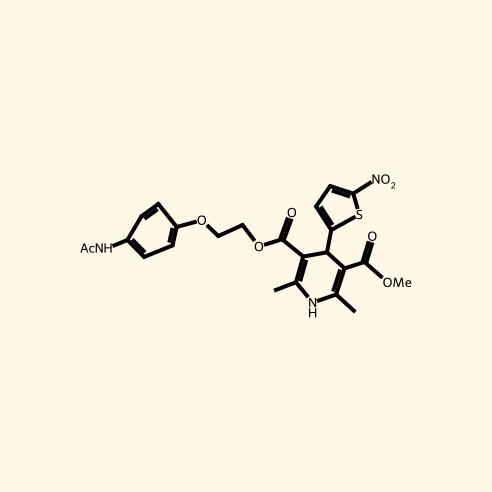 COC(=O)C1=C(C)NC(C)=C(C(=O)OCCOc2ccc(NC(C)=O)cc2)C1c1ccc([N+](=O)[O-])s1